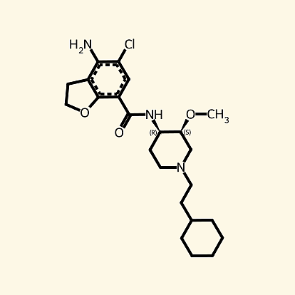 CO[C@H]1CN(CCC2CCCCC2)CC[C@H]1NC(=O)c1cc(Cl)c(N)c2c1OCC2